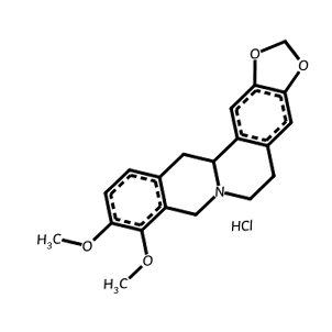 COc1ccc2c(c1OC)CN1CCc3cc4c(cc3C1C2)OCO4.Cl